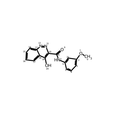 COc1cccc(NC(=O)c2nnc3ccccc3c2O)c1